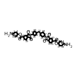 Nc1ccc(OC(=O)c2ccc3c(c2)C(=O)N(c2ccc(Cc4ccc(N5C(=O)c6ccc(C(=O)Oc7ccc(N)nc7)cc6C5=O)cc4)cc2)C3=O)cn1